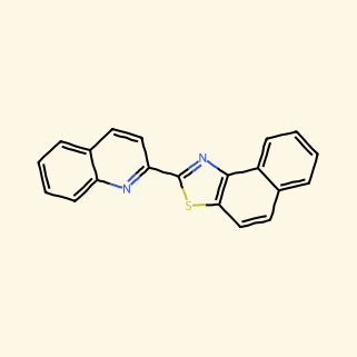 c1ccc2nc(-c3nc4c(ccc5ccccc54)s3)ccc2c1